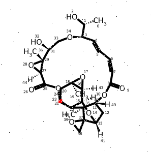 C[C@@H](O)[C@H]1/C=C/C=C\C(=O)O[C@@H]2C[C@H]3O[C@@H]4[C@@H]5O[C@]5(C)CC[C@]4(COC(=O)[C@H]4O[C@]4(C)[C@@H](O)CO1)[C@]2(C)C31CO1